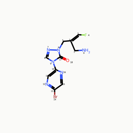 NC/C(=C\F)Cn1ncn(-c2cnc(Br)cn2)c1=O